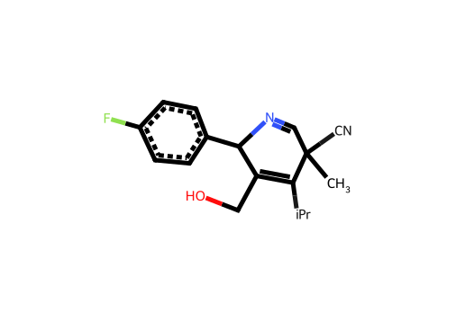 CC(C)C1=C(CO)C(c2ccc(F)cc2)N=CC1(C)C#N